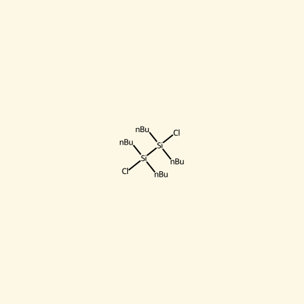 CCCC[Si](Cl)(CCCC)[Si](Cl)(CCCC)CCCC